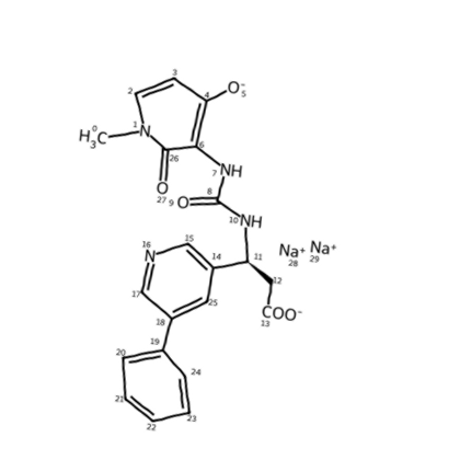 Cn1ccc([O-])c(NC(=O)N[C@@H](CC(=O)[O-])c2cncc(-c3ccccc3)c2)c1=O.[Na+].[Na+]